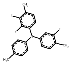 Cc1ccc(N(c2ccc(C)c(F)c2)c2ccc(C)c(F)c2F)cc1